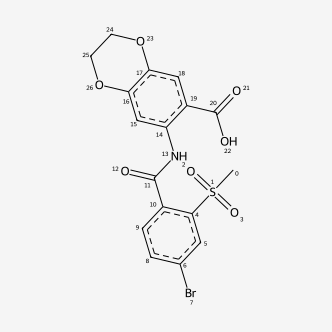 CS(=O)(=O)c1cc(Br)ccc1C(=O)Nc1cc2c(cc1C(=O)O)OCCO2